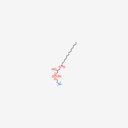 CCCCCCCCCCCCCC(=O)OCC(O)COP(=O)(O)OCC[N+](C)(C)C